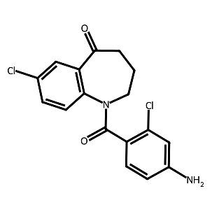 Nc1ccc(C(=O)N2CCCC(=O)c3cc(Cl)ccc32)c(Cl)c1